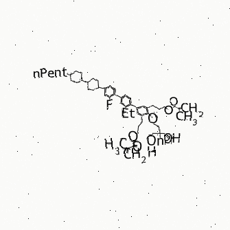 C=C(C)C(=O)OCCCc1cc(-c2ccc(-c3ccc(C4CCC(C5CCC(CCCCC)CC5)CC4)cc3F)cc2CC)cc(CCCOC(=O)C(=C)C)c1OCCC(CO)(CO)CCC